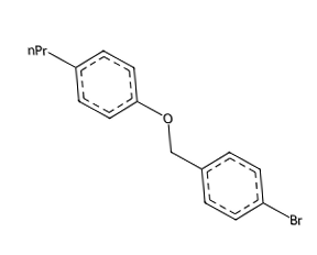 CCCc1ccc(OCc2ccc(Br)cc2)cc1